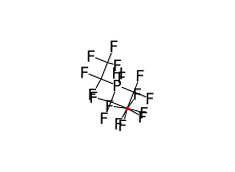 FC(F)(F)C(F)(F)[PH](F)(C(F)(F)C(F)(F)F)C(F)(F)C(F)(F)F